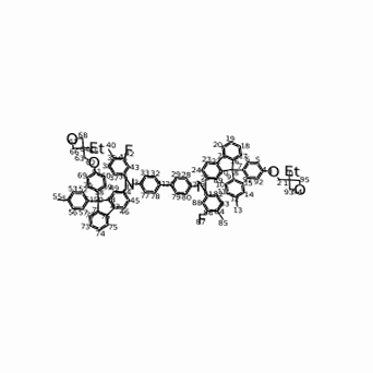 CCC1(COc2ccc(C3(c4ccc(C)cc4)c4ccccc4-c4ccc(N(c5ccc(-c6ccc(N(c7ccc(C)c(F)c7)c7ccc8c(c7)C(c7ccc(C)cc7)(c7ccc(OCC9(CC)COC9)cc7)c7ccccc7-8)cc6)cc5)c5ccc(C)c(F)c5)cc43)cc2)COC1